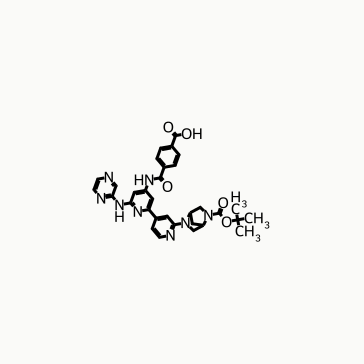 CC(C)(C)OC(=O)N1CC2CC1CN2c1cc(-c2cc(NC(=O)c3ccc(C(=O)O)cc3)cc(Nc3cnccn3)n2)ccn1